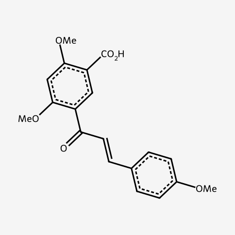 COc1ccc(C=CC(=O)c2cc(C(=O)O)c(OC)cc2OC)cc1